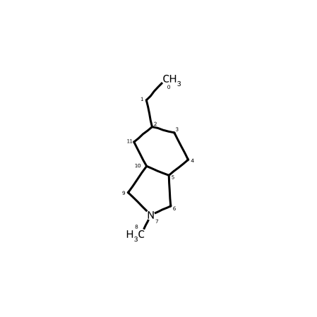 CCC1CCC2CN(C)CC2C1